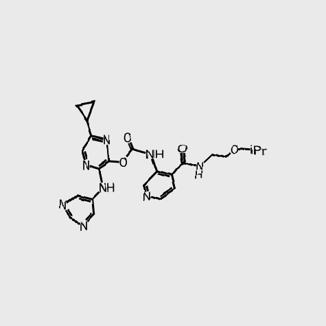 CC(C)OCCNC(=O)c1ccncc1NC(=O)Oc1nc(C2CC2)cnc1Nc1cncnc1